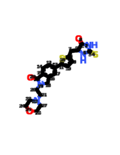 O=C1NC(=S)N/C1=C\c1ccc(-c2ccc3c(c2)CN(CCN2CCOCC2)C3=O)s1